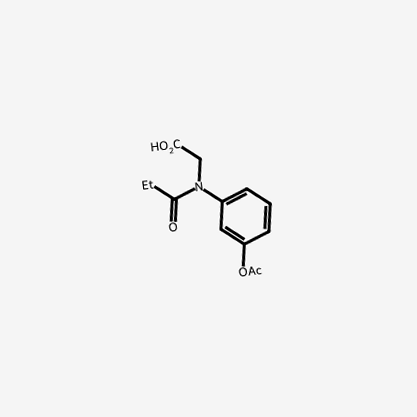 CCC(=O)N(CC(=O)O)c1cccc(OC(C)=O)c1